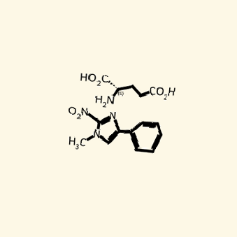 Cn1cc(-c2ccccc2)nc1[N+](=O)[O-].N[C@@H](CCC(=O)O)C(=O)O